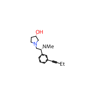 CCC#Cc1cccc([C@H](CN2CC[C@H](O)C2)NC)c1